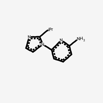 CC(C)c1nccn1-c1cccc(N)n1